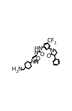 NCC1CCC([n+]2cc([N-]C(=O)Nc3cc(N4CCC(c5ccccc5)C4=O)cc(C(F)(F)F)c3)on2)CC1